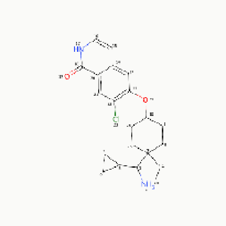 CCC1(C(N)C2CC2)CCC(Oc2cc3cc[nH]c(=O)c3cc2Cl)CC1